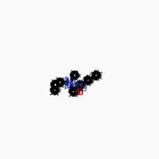 N/C(=N\C(=N/Cc1ccccc1)c1ccc2ccc3ccccc3c2c1)c1cccc2oc3cc(-c4ccc(-c5ccccc5)cc4)ccc3c12